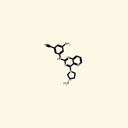 N#Cc1cc(N)cc(Nc2nc(N3CC[C@H](N)C3)c3ncccc3n2)c1